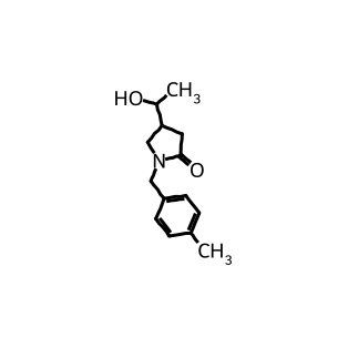 Cc1ccc(CN2CC(C(C)O)CC2=O)cc1